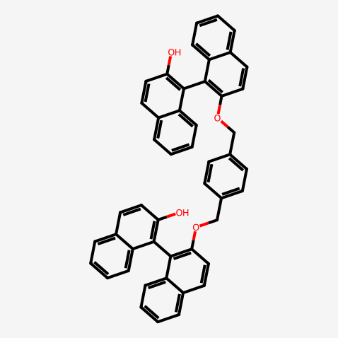 Oc1ccc2ccccc2c1-c1c(OCc2ccc(COc3ccc4ccccc4c3-c3c(O)ccc4ccccc34)cc2)ccc2ccccc12